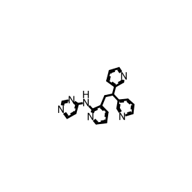 c1cncc(C(Cc2cccnc2Nc2ccncn2)c2cccnc2)c1